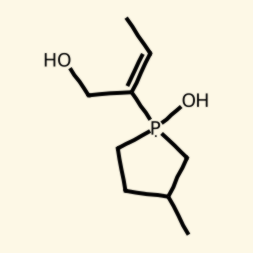 CC=C(CO)[P]1(O)CCC(C)C1